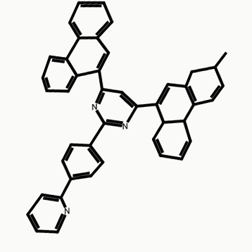 CC1C=CC2=C(C=C(c3cc(-c4cc5ccccc5c5ccccc45)nc(-c4ccc(-c5ccccn5)cc4)n3)C3C=CC=CC23)C1